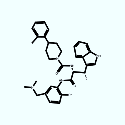 CCc1ccc(CN(C)C)cc1NC(=O)[C@H](NC(=O)N1CCC(c2ccccc2C)CC1)[C@@H](C)c1c[nH]c2ccccc12